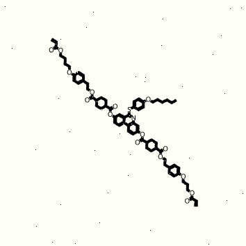 C=CC(=O)OCCCCOc1ccc(CCOC(=O)C2CCC(C(=O)Oc3ccc4c(c3)c(Sc3ccc(OCCCCCC)cc3)nc3cc(OC(=O)C5CCC(C(=O)OCCc6ccc(OCCCOC(=O)C=C)cc6)CC5)ccc34)CC2)cc1